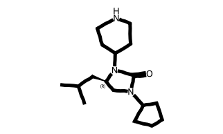 CC(C)C[C@@H]1CN(C2CCCC2)C(=O)N1C1CCNCC1